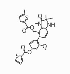 COc1cc(OC(=O)c2cccs2)ccc1-c1ccc2c(c1COC(=O)c1ccc(C)s1)N(C)C(=O)C(C)(C)N2